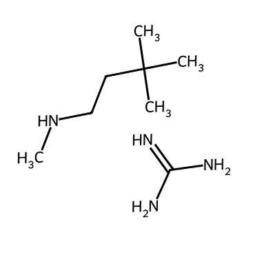 CNCCC(C)(C)C.N=C(N)N